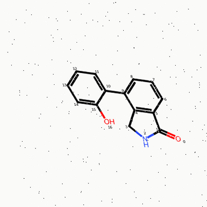 O=C1NCc2c1cccc2-c1ccccc1O